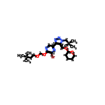 C[Si](C)(C)CCOCOc1ncc(-c2nnn(C[Si](C)(C)C)c2COC2CCCCO2)nc1Br